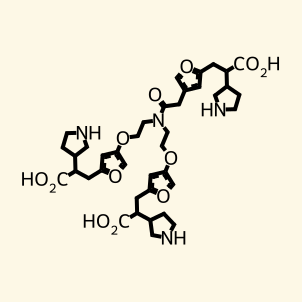 O=C(O)C(Cc1cc(CC(=O)N(CCOc2coc(CC(C(=O)O)C3CCNC3)c2)CCOc2coc(CC(C(=O)O)C3CCNC3)c2)co1)C1CCNC1